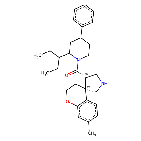 CCC(CC)C1CC(c2ccccc2)CCN1C(=O)[C@@H]1CNC[C@]12CCOc1cc(C)ccc12